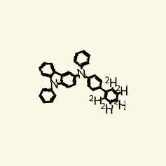 [2H]c1c([2H])c([2H])c(-c2ccc(N(c3ccccc3)c3ccc4c(c3)c3ccccc3n4-c3ccccc3)cc2)c([2H])c1[2H]